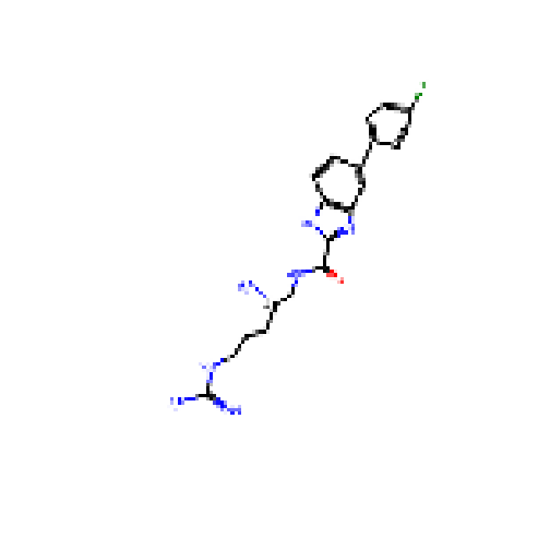 N=C(N)NCCC[C@H](N)CNC(=O)c1nc2cc(-c3ccc(F)cc3)ccc2[nH]1